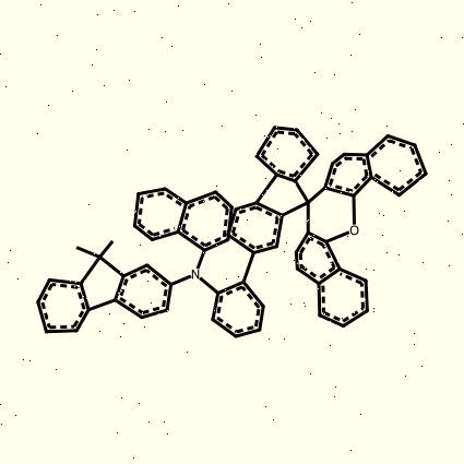 CC1(C)c2ccccc2-c2ccc(N(c3ccccc3-c3ccc4c(c3)C3(c5ccccc5-4)c4ccc5ccccc5c4Oc4c3ccc3ccccc43)c3cccc4ccccc34)cc21